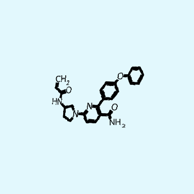 C=CC(=O)NC1CCN(c2ccc(C(N)=O)c(-c3ccc(Oc4ccccc4)cc3)n2)C1